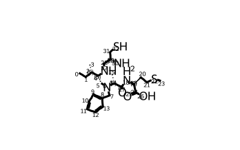 CC[C@H](C)[C@@H](CN(Cc1ccccc1)[C@H](C)C(=O)N[C@@H](CCSC)C(=O)O)NC[C@@H](N)CS